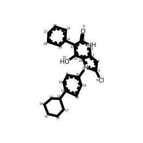 O=c1[nH]c2cc(Cl)n(-c3ccc(C4CCCCC4)cc3)c2c(O)c1-c1ccccc1